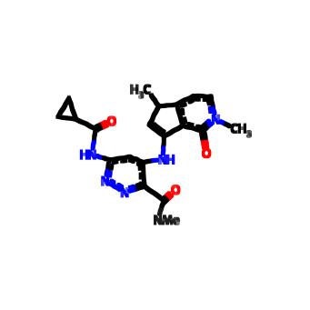 CNC(=O)c1nnc(NC(=O)C2CC2)cc1NC1=CC(C)c2ccn(C)c(=O)c21